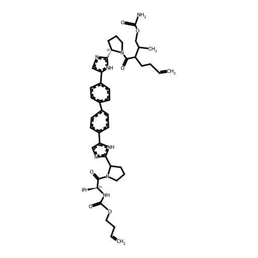 C=CCCOC(=O)N[C@H](C(=O)N1CCCC1c1ncc(-c2ccc(-c3ccc(-c4cnc([C@@H]5CCCN5C(=O)C(CCC=C)C(C)COC(N)=O)[nH]4)cc3)cc2)[nH]1)C(C)C